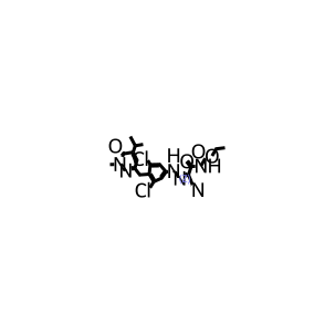 CCOC(=O)NC(=O)/C(C#N)=N\Nc1cc(Cl)c(Cc2cc(C(C)C)c(=O)n(C)n2)c(Cl)c1